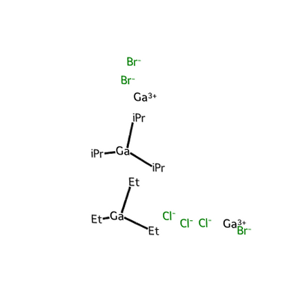 C[CH2][Ga]([CH2]C)[CH2]C.C[CH](C)[Ga]([CH](C)C)[CH](C)C.[Br-].[Br-].[Br-].[Cl-].[Cl-].[Cl-].[Ga+3].[Ga+3]